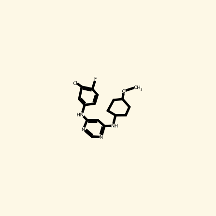 COC1CCC(Nc2cc(Nc3ccc(F)c(Cl)c3)ncn2)CC1